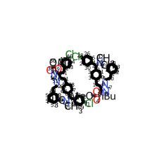 CCCCC1(OC(=O)OC)N=CN(CCc2ccccc2)C1CC1CCC(C(c2ccc(Cl)cc2)N(C)C)CC1.COC(=O)OC1(Cc2ccc(Cl)cc2)N=CN(CCc2ccccc2)C1CC1CCC(C(c2ccc(Cl)cc2)N(C)C)CC1